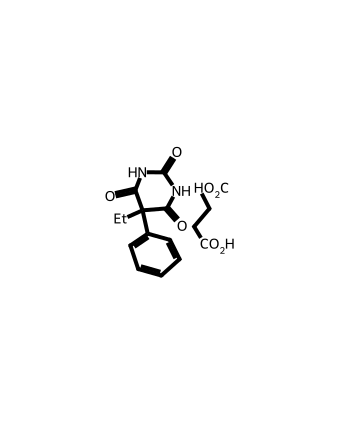 CCC1(c2ccccc2)C(=O)NC(=O)NC1=O.O=C(O)CCC(=O)O